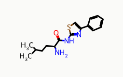 CC(C)CCC(N)C(=O)Nc1nc(-c2ccccc2)cs1